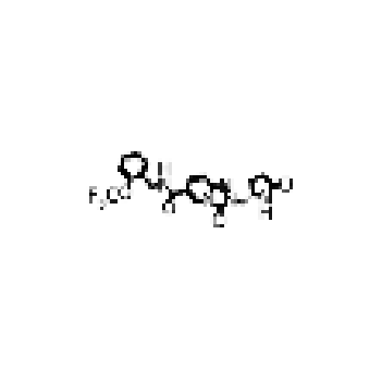 O=C1CC[C@@H](Cn2nc3ccc(C(=O)NCc4ccccc4OC(F)(F)F)cn3c2=O)N1